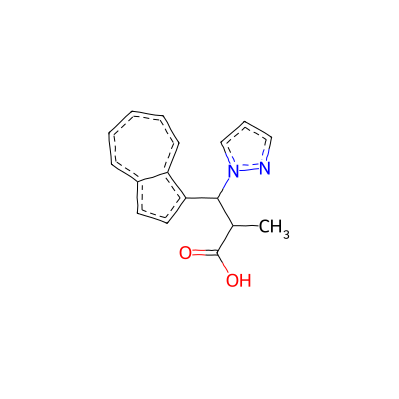 CC(C(=O)O)C(c1ccc2cccccc1-2)n1cccn1